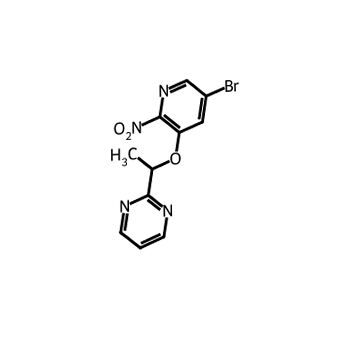 CC(Oc1cc(Br)cnc1[N+](=O)[O-])c1ncccn1